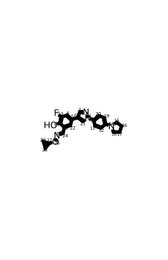 Oc1c(F)cc(-c2cnn(-c3ccc(N4CCCC4)cc3)c2)cc1/C=N/OC1CC1